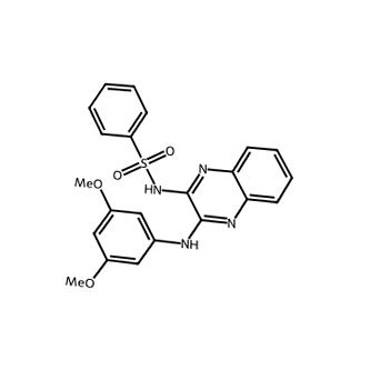 COc1cc(Nc2nc3ccccc3nc2NS(=O)(=O)c2ccccc2)cc(OC)c1